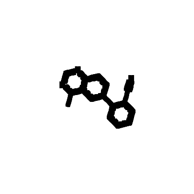 Cc1ncnc2ccc(-c3ccccc3C#N)cc12